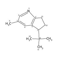 Cc1cnc2c(c1)C(C(C)(C)C)CC2